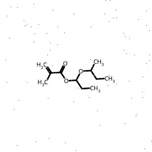 C=C(C)C(=O)OC(CC)OC(C)CC